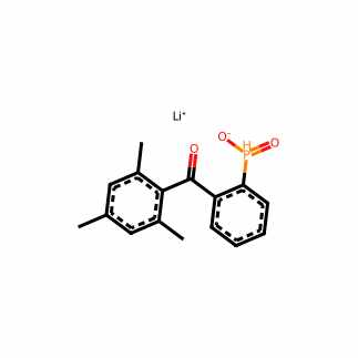 Cc1cc(C)c(C(=O)c2ccccc2[PH](=O)[O-])c(C)c1.[Li+]